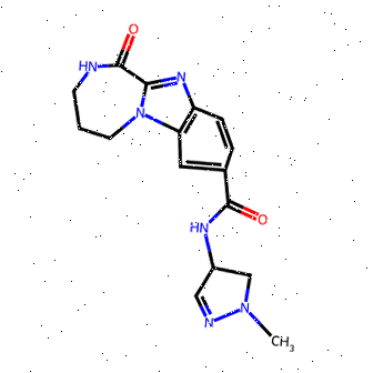 CN1CC(NC(=O)c2ccc3nc4n(c3c2)CCCNC4=O)C=N1